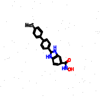 CSc1ccc(-c2ccc(C3Nc4ccc(C(=O)NO)cc4N3)cc2)cc1